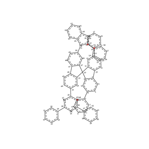 c1ccc(-c2ccc3c(c2)C2(c4cc(-c5ccccc5)ccc4-3)c3cc(-c4nc(-c5ccccc5)nc(-c5ccccc5)n4)ccc3-c3ccc(-n4c(-c5ccccc5)nc5ccccc54)cc32)cc1